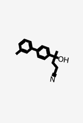 Cc1cccc(-c2ccc(C(C)(O)CCC#N)cc2)c1